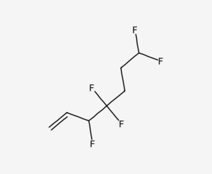 C=CC(F)C(F)(F)CCC(F)F